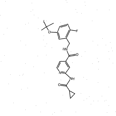 CC(C)(I)Oc1ccc(F)c(CNC(=O)c2ccnc(NC(=O)C3CC3)c2)c1